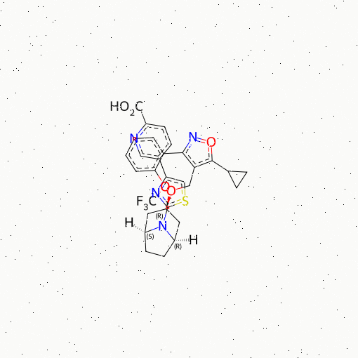 O=C(O)c1ccc(-c2csc(N3[C@@H]4CC[C@H]3C[C@@H](OCc3c(-c5ccccc5OC(F)(F)F)noc3C3CC3)C4)n2)cn1